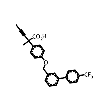 CC#CC(C)(C(=O)O)c1ccc(OCc2cccc(-c3ccc(C(F)(F)F)cc3)c2)cc1